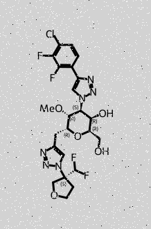 CO[C@@H]1[C@@H](n2cc(-c3ccc(Cl)c(F)c3F)nn2)[C@@H](O)[C@@H](CO)O[C@@H]1Cc1cn([C@@]2(C(F)F)CCOC2)nn1